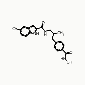 CC(CNC(=O)c1cc2cc(Cl)ccc2[nH]1)Cc1ccc(C(=O)NO)cc1